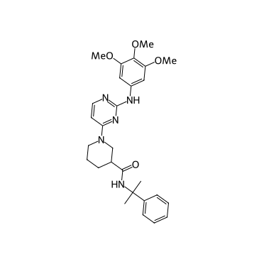 COc1cc(Nc2nccc(N3CCCC(C(=O)NC(C)(C)c4ccccc4)C3)n2)cc(OC)c1OC